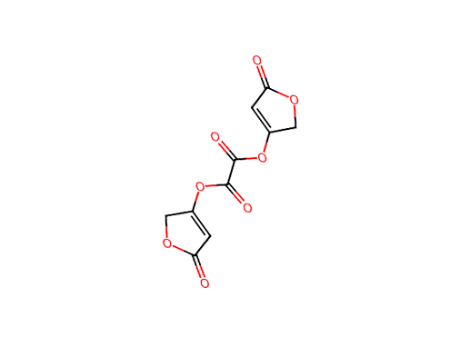 O=C1C=C(OC(=O)C(=O)OC2=CC(=O)OC2)CO1